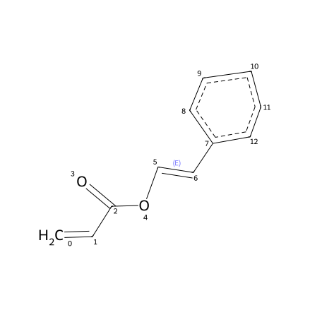 C=CC(=O)O/C=C/c1ccccc1